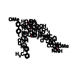 CCc1cc(OC)ccc1-c1ccc(C[C@H](NC(=O)[C@H](CC(=O)O)NC(=O)[C@H](Cc2c[nH]cn2)NC(=O)[C@@H](NC(=O)C(C)(Cc2ccccc2F)NC(=O)[C@@H](NC(=O)CNC(=O)[C@H](CCC(=O)O)NC(=O)C2(C)CCCN2C(=O)[C@H](Cc2c[nH]cn2)NC(=O)OC)[C@@H](C)O)[C@@H](C)O)C(=O)N[C@@H](Cc2ccc(-c3ccccc3C)nc2)C(N)=O)cc1